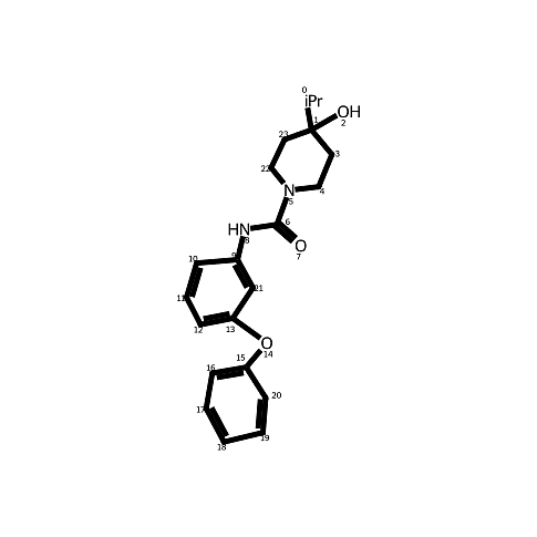 CC(C)C1(O)CCN(C(=O)Nc2cccc(Oc3ccccc3)c2)CC1